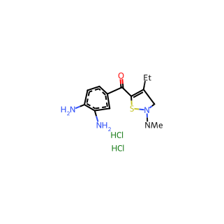 CCC1=C(C(=O)c2ccc(N)c(N)c2)SN(NC)C1.Cl.Cl